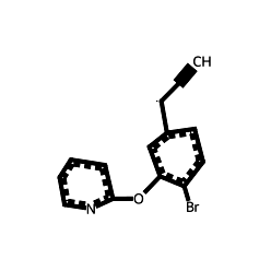 C#C[CH]c1ccc(Br)c(Oc2ccccn2)c1